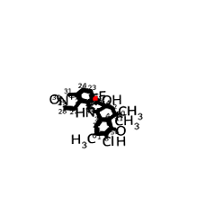 Cc1cc2c(c(O)c1Cl)C(C)(C)CC(O)(C(F)(F)F)C2Nc1cccc2c1C=C[N+](=O)C2